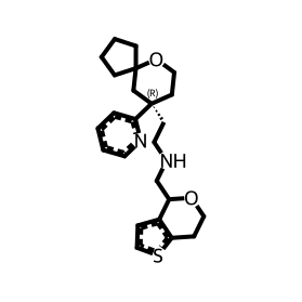 c1ccc([C@]2(CCNCC3OCCc4sccc43)CCOC3(CCCC3)C2)nc1